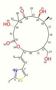 C/C(=C\c1csc(C)n1)C1CCC(CO)CCC[C@H](C)[C@H](O)[C@@H](C)C(=O)C(C)(C)[C@@H](O)CC(=O)O1